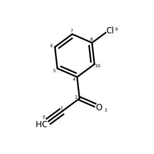 C#CC(=O)c1cccc(Cl)c1